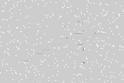 CC(=O)OC[C@H]1O[C@@H](OCCOCCOCCO)[C@H](OC(C)=O)[C@@H](OC(C)=O)[C@@H]1OC(C)=O